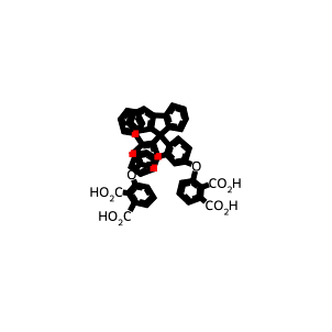 O=C(O)c1cccc(Oc2ccc(C3(c4ccc(Oc5cccc(C(=O)O)c5C(=O)O)cc4-c4ccccc4)c4ccccc4-c4ccccc43)c(-c3ccccc3)c2)c1C(=O)O